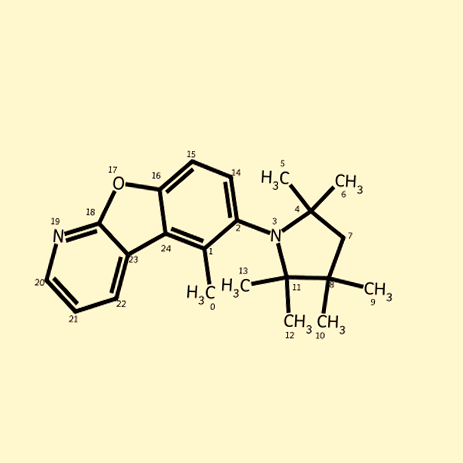 Cc1c(N2C(C)(C)CC(C)(C)C2(C)C)ccc2oc3ncccc3c12